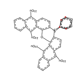 CCCCCCCCc1c2ccccc2c(CCCCCCCC)c2c(Oc3c(Sc4ccccc4)ccc4c(CCCCCCCC)c5ccccc5c(CCCCCCCC)c34)c(Sc3ccccc3)ccc12